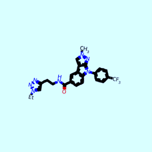 CCn1cc(CCNC(=O)c2ccc3c(c2)c2cn(C)nc2n3-c2ccc(C(F)(F)F)cc2)nn1